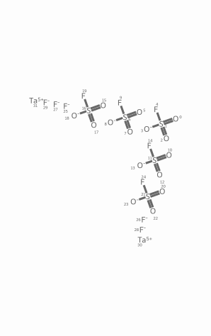 O=S(=O)([O-])F.O=S(=O)([O-])F.O=S(=O)([O-])F.O=S(=O)([O-])F.O=S(=O)([O-])F.[F-].[F-].[F-].[F-].[F-].[Ta+5].[Ta+5]